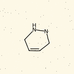 C1=CCN[N]C1